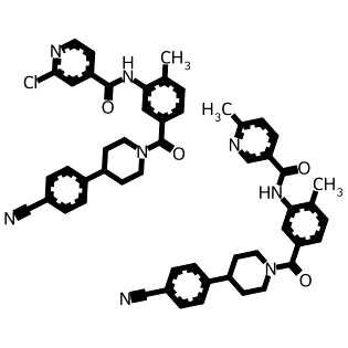 Cc1ccc(C(=O)N2CCC(c3ccc(C#N)cc3)CC2)cc1NC(=O)c1ccnc(Cl)c1.Cc1ccc(C(=O)Nc2cc(C(=O)N3CCC(c4ccc(C#N)cc4)CC3)ccc2C)cn1